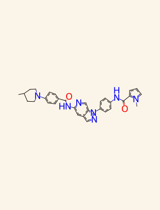 CC1CCN(c2ccc(C(=O)Nc3cc4cnn(-c5ccc(NC(=O)c6cccn6C)cc5)c4cn3)cc2)CC1